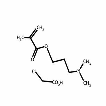 C=C(C)C(=O)OCCCN(C)C.O=C(O)CCl